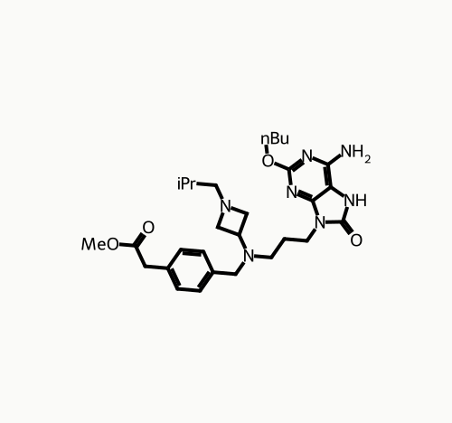 CCCCOc1nc(N)c2[nH]c(=O)n(CCCN(Cc3ccc(CC(=O)OC)cc3)C3CN(CC(C)C)C3)c2n1